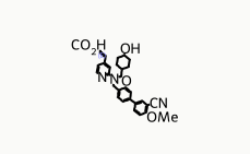 COc1ccc(-c2ccc(CN(C(=O)C3CCC(O)CC3)c3cc(/C=C/C(=O)O)ccn3)cc2)cc1C#N